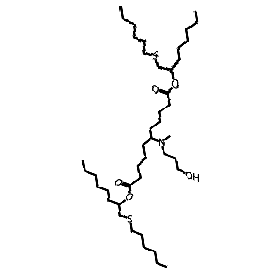 CCCCCCSCC(CCCCCC)OC(=O)CCCCC(CCCCC(=O)OC(CCCCCC)CSCCCCCC)N(C)CCCO